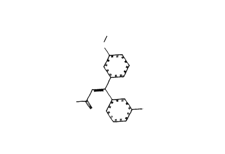 COc1cccc(C(=CC(=O)O)c2cccc(Cl)c2)c1